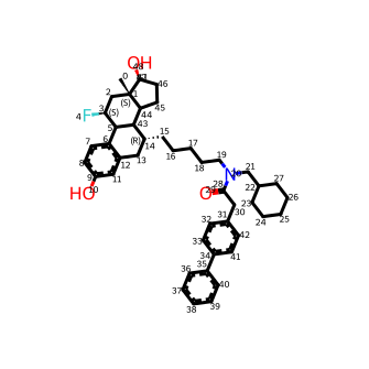 C[C@]12C[C@H](F)C3c4ccc(O)cc4C[C@@H](CCCCCN(CC4CCCCC4)C(=O)Cc4ccc(-c5ccccc5)cc4)C3C1CC[C@@H]2O